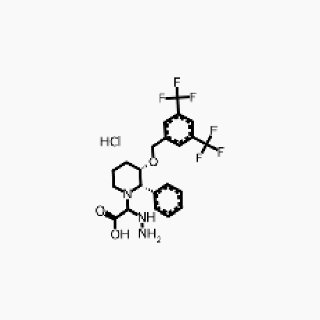 Cl.NNC(C(=O)O)N1CCC[C@H](OCc2cc(C(F)(F)F)cc(C(F)(F)F)c2)[C@@H]1c1ccccc1